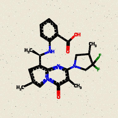 Cc1cc([C@@H](C)Nc2ccccc2C(=O)O)c2nc(N3CC(C)C(F)(F)C3)c(C)c(=O)n2c1